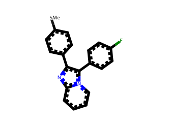 CSc1ccc(-c2nc3ccccn3c2-c2ccc(F)cc2)cc1